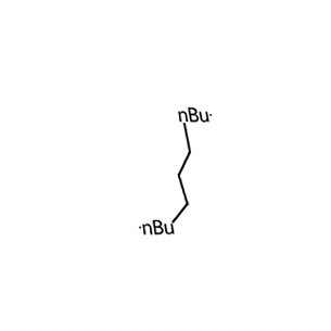 CCC[CH]CCC[CH]CCC